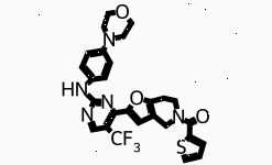 O=C(c1cccs1)N1CCc2oc(-c3nc(Nc4ccc(N5CCOCC5)cc4)ncc3C(F)(F)F)cc2C1